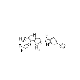 Cc1cnc(CC(=O)c2nc3cc(-n4cccc4)ccc3[nH]2)c(C)c1OCC(F)(F)F